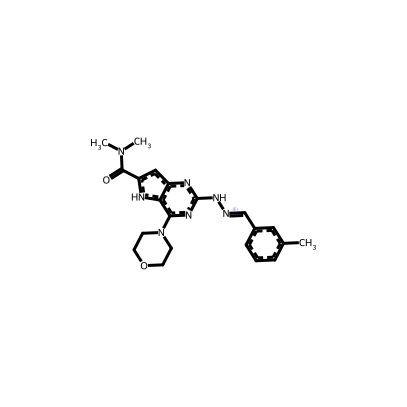 Cc1cccc(/C=N/Nc2nc(N3CCOCC3)c3[nH]c(C(=O)N(C)C)cc3n2)c1